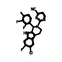 Cc1ccc(C2c3[nH]c4cc(F)c(Cl)cc4c3CCN2c2nccc(C#N)n2)c(F)c1F